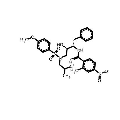 COc1ccc(S(=O)(=O)N(CC(C)C)C[C@@H](O)[C@H](Cc2ccccc2)NC(=O)c2ccc([N+](=O)[O-])cc2C)cc1